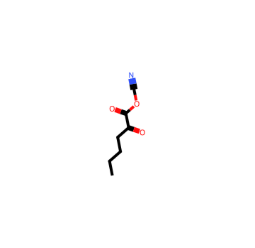 CCCCC(=O)C(=O)OC#N